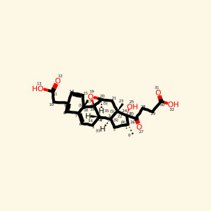 C[C@@H]1C[C@H]2[C@@H]3CC=C4C=C(CC(=O)O)C=C[C@]4(C)[C@@]34O[C@H]4C[C@]2(C)[C@@]1(O)C(=O)CCC(=O)O